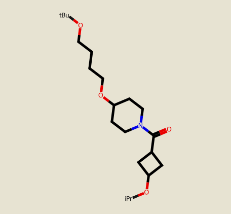 CC(C)OC1CC(C(=O)N2CCC(OCCCCOC(C)(C)C)CC2)C1